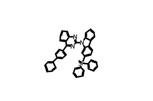 C[Si](c1ccccc1)(c1ccccc1)c1ccc2c3ccccc3n(-c3nc(-c4ccc(-c5ccccc5)cc4)c4ccccc4n3)c2c1